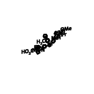 COC(=O)NC(C(=O)n1cccc1-c1nc2cc([C@H]3CCC(c4ccc5[nH]c(C6CCCN6C(=O)[C@@H](NC(=O)O)C(C)C)nc5c4)N3c3ccc(N4CCCCC4)c(C)c3)ccc2[nH]1)C(C)C